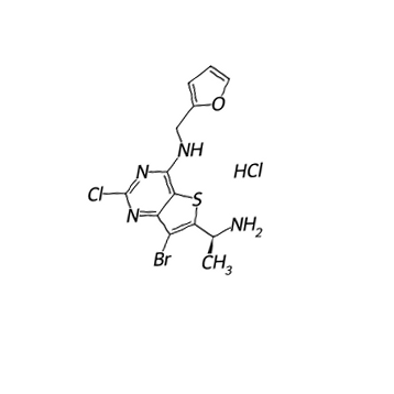 C[C@H](N)c1sc2c(NCc3ccco3)nc(Cl)nc2c1Br.Cl